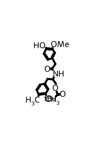 COc1cc(CC(=O)NC(COC(=O)C(C)(C)C)Cc2ccc(C)c(C)c2)ccc1O